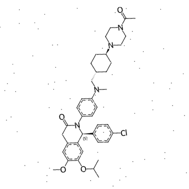 COc1cc2c(cc1OC(C)C)[C@H](c1ccc(Cl)cc1)N(c1ccc(N(C)C[C@H]3CC[C@H](N4CCN(C(C)=O)CC4)CC3)cc1)C(=O)C2